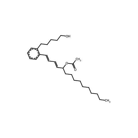 CCCCCCCCCCC(C=CC=Cc1ccccc1CCCCCO)OC(C)=O